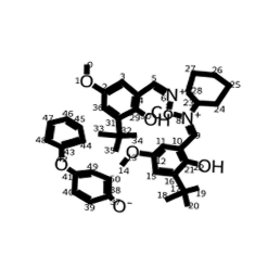 COc1cc(C=[N+]2[Co][N+](=Cc3cc(OC)cc(C(C)(C)C)c3O)C3CCCCC32)c(O)c(C(C)(C)C)c1.[O-]c1ccc(Oc2ccccc2)cc1